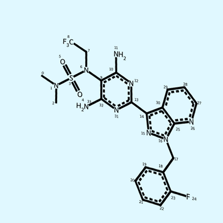 CN(C)S(=O)(=O)N(CC(F)(F)F)c1c(N)nc(-c2nn(Cc3ccccc3F)c3ncccc23)nc1N